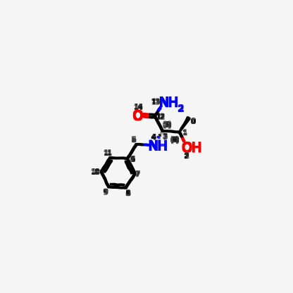 C[C@@H](O)[C@H](NCc1ccccc1)C(N)=O